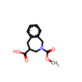 COC(=O)N1Cc2ccccc2CC(C(=O)O)C1